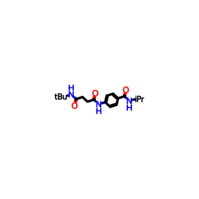 CC(C)NC(=O)c1ccc(NC(=O)CCC(=O)NC(C)(C)C)cc1